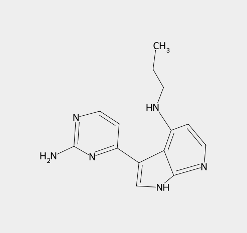 CCCNc1ccnc2[nH]cc(-c3ccnc(N)n3)c12